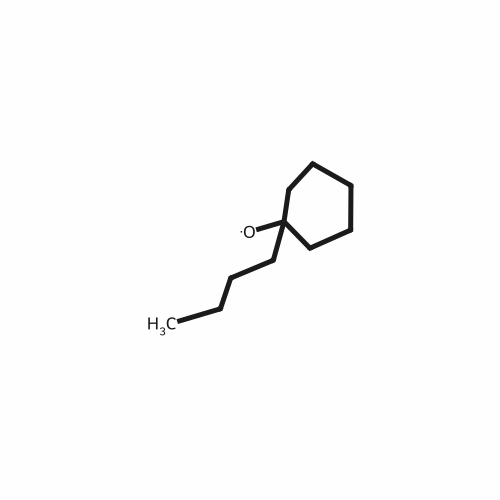 CCCCC1([O])CCCCC1